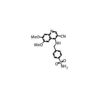 COc1cc2ncc(C#N)c(NCc3ccc(S(N)(=O)=O)cc3)c2cc1OC